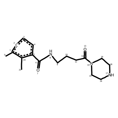 Cc1cccc(C(=O)NCCCC(=O)N2CCNCC2)c1C